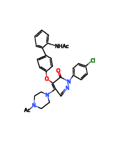 CC(=O)Nc1ccccc1-c1ccc(Oc2c(N3CCN(C(C)=O)CC3)cnn(-c3ccc(Cl)cc3)c2=O)cc1